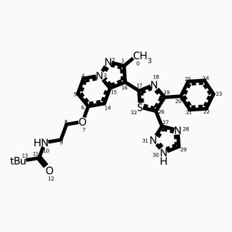 Cc1nn2ccc(OCCNC(=O)C(C)(C)C)cc2c1-c1nc(-c2ccccc2)c(-c2nc[nH]n2)s1